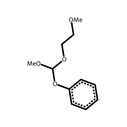 COCCOC(OC)Oc1cc[c]cc1